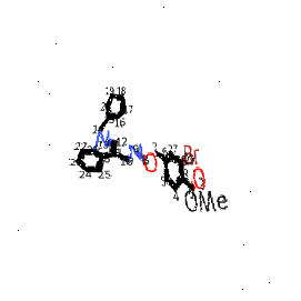 COC(=O)c1ccc(CON=Cc2cn(Cc3ccccc3)c3ccccc23)cc1Br